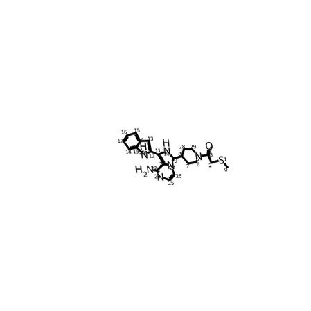 CSCC(=O)N1CCC(C2NC(c3cc4ccccc4[nH]3)=C3C(N)=NC=CN32)CC1